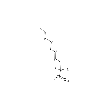 CC=CCCC=CCC(C)(C)C(C)=O